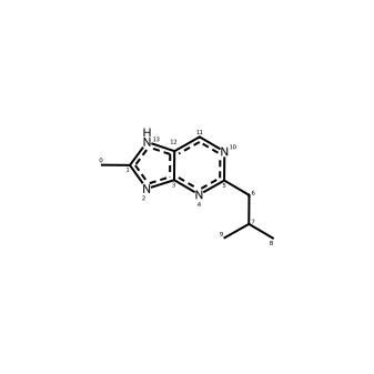 Cc1nc2nc(CC(C)C)ncc2[nH]1